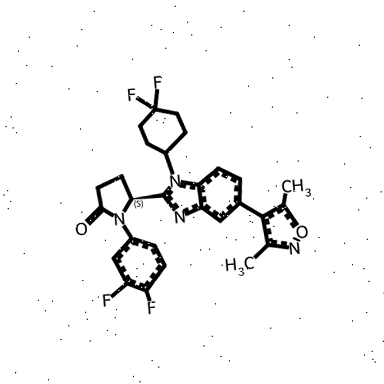 Cc1noc(C)c1-c1ccc2c(c1)nc([C@@H]1CCC(=O)N1c1ccc(F)c(F)c1)n2C1CCC(F)(F)CC1